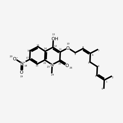 CC(C)=CCCC(C)=CCOc1c(O)c2ccc([N+](=O)[O-])cc2n(C)c1=O